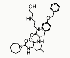 CC(C)C[C@H](NC(=O)N1CCCCCC1)C(=O)N[C@@H](Cc1ccc(OCc2ccccc2)cc1)C(=O)NCCNCCO